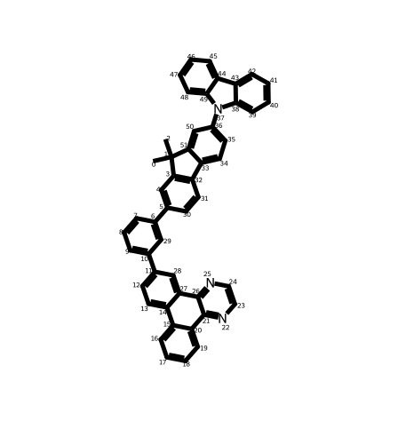 CC1(C)c2cc(-c3cccc(-c4ccc5c6ccccc6c6nccnc6c5c4)c3)ccc2-c2ccc(-n3c4ccccc4c4ccccc43)cc21